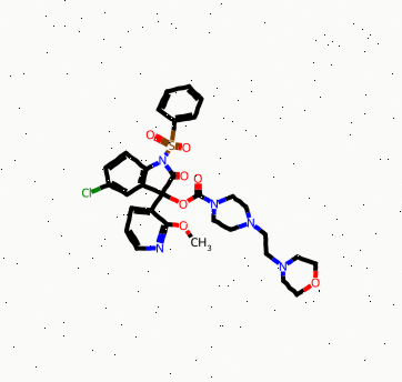 COc1ncccc1C1(OC(=O)N2CCN(CCN3CCOCC3)CC2)C(=O)N(S(=O)(=O)c2ccccc2)c2ccc(Cl)cc21